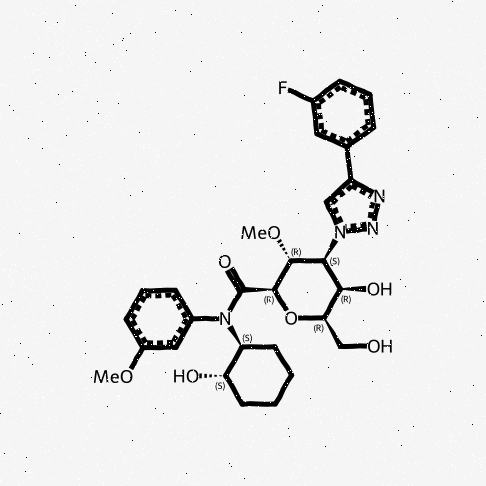 COc1cccc(N(C(=O)[C@@H]2O[C@H](CO)[C@H](O)[C@H](n3cc(-c4cccc(F)c4)nn3)[C@H]2OC)[C@H]2CCCC[C@@H]2O)c1